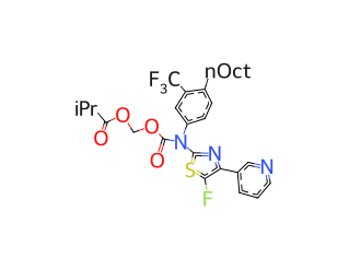 CCCCCCCCc1ccc(N(C(=O)OCOC(=O)C(C)C)c2nc(-c3cccnc3)c(F)s2)cc1C(F)(F)F